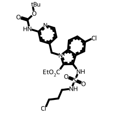 CCOC(=O)c1c(NS(=O)(=O)NCCCCl)c2cc(Cl)ccc2n1Cc1ccnc(NC(=O)OC(C)(C)C)c1